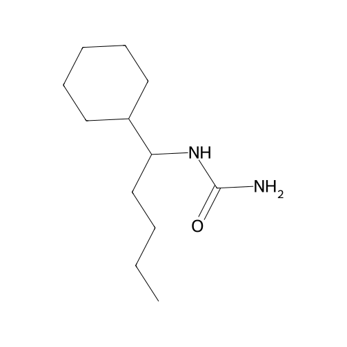 CCCCC(NC(N)=O)C1CCCCC1